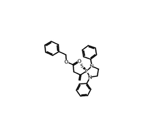 C=C(CC(=O)OCc1ccccc1)P1(=S)N(c2ccccc2)CCN1c1ccccc1